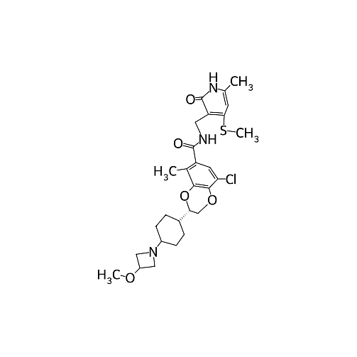 COC1CN(C2CCC([C@H]3COc4c(Cl)cc(C(=O)NCc5c(SC)cc(C)[nH]c5=O)c(C)c4O3)CC2)C1